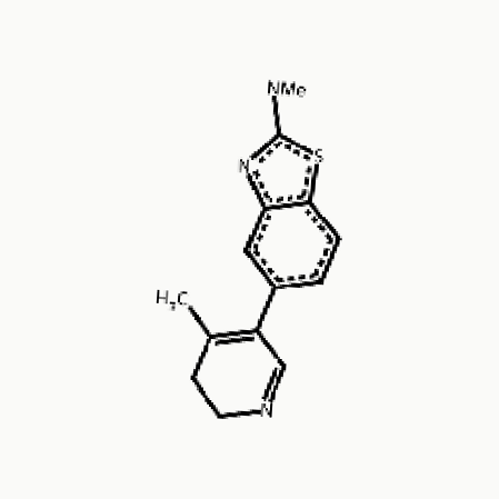 CNc1nc2cc(C3=C(C)CCN=C3)ccc2s1